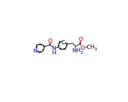 COC(=O)[C@@H](N)Cc1ccc(NC(=O)c2ccncc2)cc1